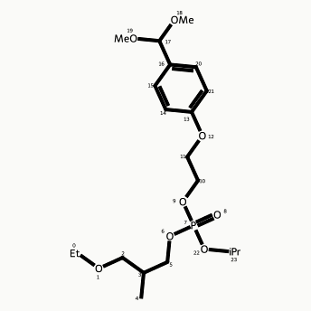 CCOCC(C)COP(=O)(OCCOc1ccc(C(OC)OC)cc1)OC(C)C